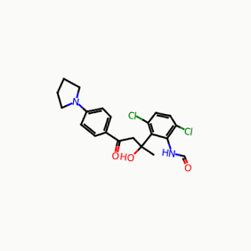 CC(O)(CC(=O)c1ccc(N2CCCC2)cc1)c1c(Cl)ccc(Cl)c1NC=O